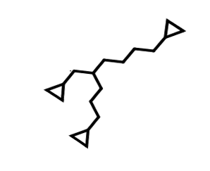 [CH](C(CCCCC1CC1)CCCC1CC1)C1CC1